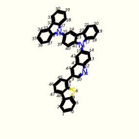 c1ccc2c(c1)sc1c(-c3cnc4ccc(-n5c6ccccc6c6cc(-n7c8ccccc8c8ccccc87)ccc65)cc4c3)cccc12